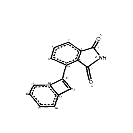 O=C1NC(=O)c2c1cccc2C1=Cc2ccccc21